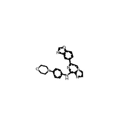 c1cn2cc(-c3ccc4ocnc4c3)nc(Nc3ccc(N4CCOCC4)cc3)c2n1